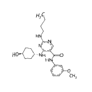 CCCCNc1ncc(C(=O)Nc2cccc(OC)c2)c(N[C@H]2CC[C@H](O)CC2)n1